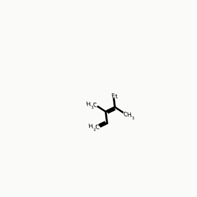 C=C/C(C)=C(\C)CC